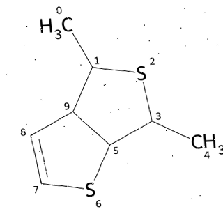 CC1SC(C)C2SC=CC12